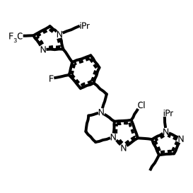 Cc1cnn(C(C)C)c1-c1nn2c(c1Cl)N(Cc1ccc(-c3nc(C(F)(F)F)cn3C(C)C)c(F)c1)CCC2